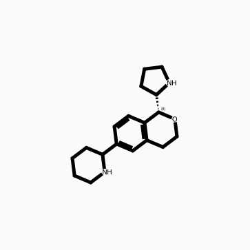 c1cc2c(cc1C1CCCCN1)CCO[C@H]2C1CCCN1